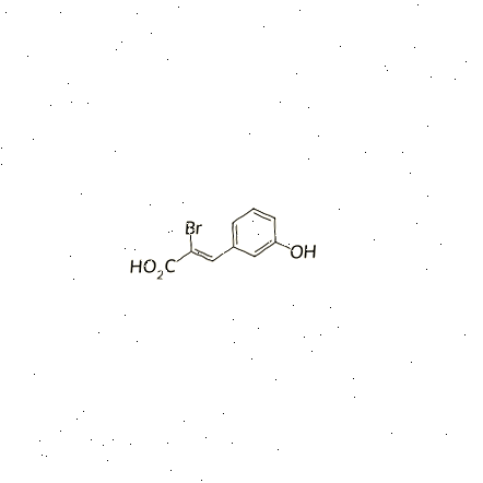 O=C(O)C(Br)=Cc1cccc(O)c1